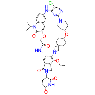 CCOc1c(N2CC3(CCC(OC4CCN(c5ncc(Cl)c(Nc6ccc7c(c6)cc(OCC(=O)NC)c(=O)n7C(C)C)n5)CC4)CC3)C2)ccc2c1CN(C1CCC(=O)NC1=O)C2=O